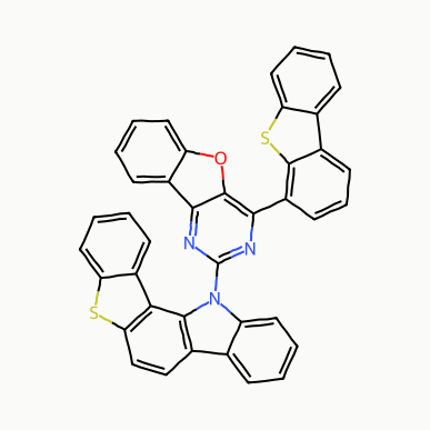 c1ccc2c(c1)oc1c(-c3cccc4c3sc3ccccc34)nc(-n3c4ccccc4c4ccc5sc6ccccc6c5c43)nc12